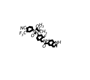 CC1(C)C(=O)N(c2ccc(C#N)c(C(F)(F)F)c2)C(=O)N1c1ccc(CNC(=O)c2ccc3[nH]ncc3c2)c(F)c1